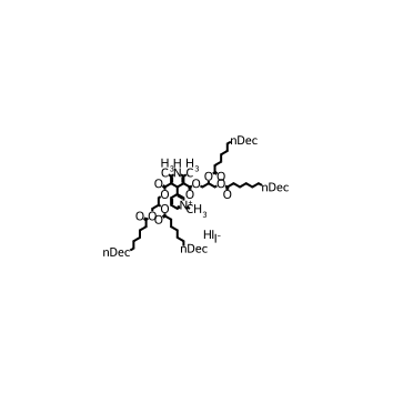 CCCCCCCCCCCCCCCC(=O)OCC(COC(=O)C1=C(C)NC(C)=C(C(=O)OCC(COC(=O)CCCCCCCCCCCCCCC)OC(=O)CCCCCCCCCCCCCCC)C1c1ccc[n+](C)c1)OC(=O)CCCCCCCCCCCCCCC.I.[I-]